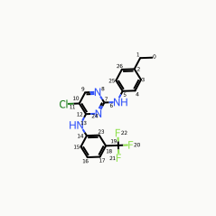 CCc1ccc(Nc2ncc(Cl)c(Nc3cccc(C(F)(F)F)c3)n2)cc1